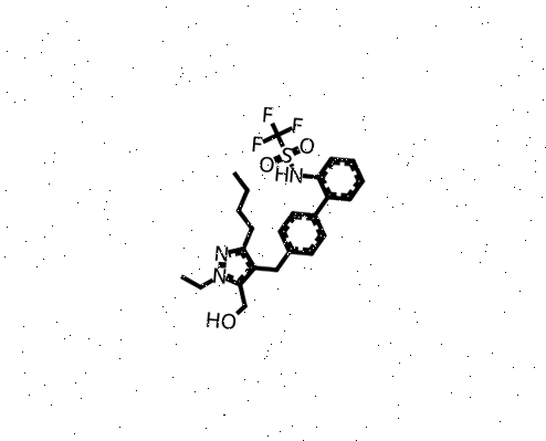 CCCCc1nn(CC)c(CO)c1Cc1ccc(-c2ccccc2NS(=O)(=O)C(F)(F)F)cc1